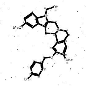 COc1ccc2c(c1)c1c(n2CO)CN2CCc3cc(OC)c(OCc4ccc(Br)cc4)cc3C2C1